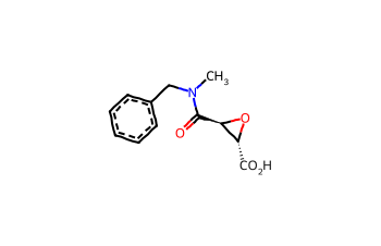 CN(Cc1ccccc1)C(=O)[C@H]1O[C@@H]1C(=O)O